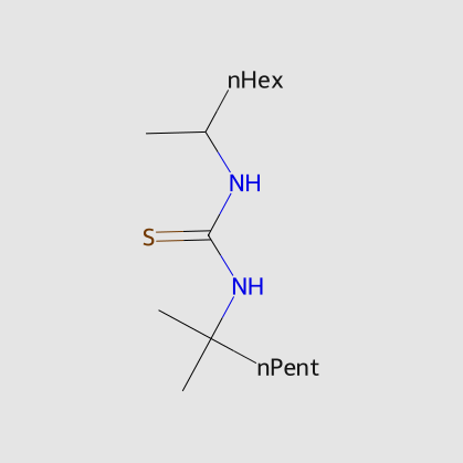 CCCCCCC(C)NC(=S)NC(C)(C)CCCCC